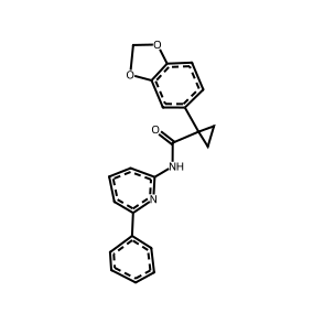 O=C(Nc1cccc(-c2ccccc2)n1)C1(c2ccc3c(c2)OCO3)CC1